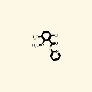 COc1c(C)ccc(Cl)c1C(=O)Oc1ccccn1